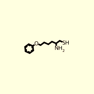 NC(CS)CCCCOc1ccccc1